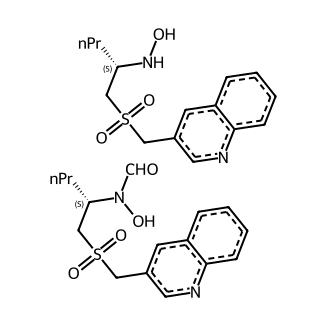 CCC[C@@H](CS(=O)(=O)Cc1cnc2ccccc2c1)N(O)C=O.CCC[C@@H](CS(=O)(=O)Cc1cnc2ccccc2c1)NO